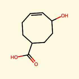 O=C(O)C1CC/C=C\C(O)CC1